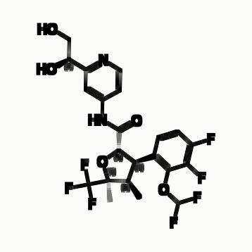 C[C@@H]1[C@H](c2ccc(F)c(F)c2OC(F)F)[C@@H](C(=O)Nc2ccnc([C@@H](O)CO)c2)O[C@]1(C)C(F)(F)F